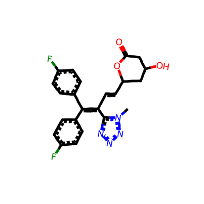 Cn1nnnc1C(/C=C/C1CC(O)CC(=O)O1)=C(c1ccc(F)cc1)c1ccc(F)cc1